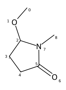 COC1[CH]CC(=O)N1C